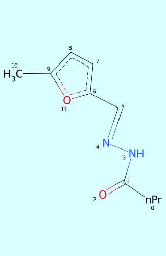 CCCC(=O)NN=Cc1ccc(C)o1